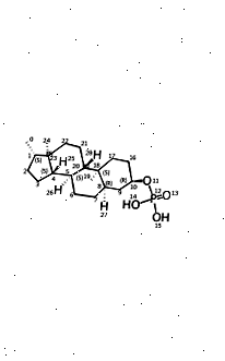 C[C@H]1CC[C@H]2[C@@H]3CC[C@@H]4C[C@H](OP(=O)(O)O)CC[C@]4(C)[C@H]3CC[C@]12C